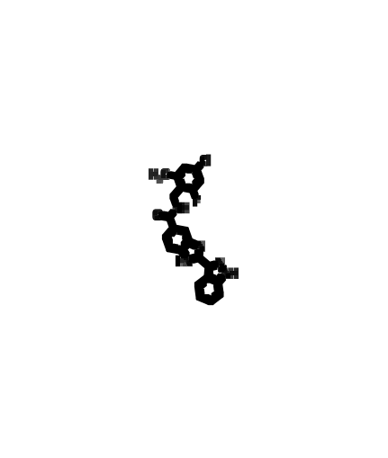 Cc1cc(Cl)cc(F)c1CNC(=O)c1ccc2[nH]c(-c3n[nH]c4ccccc34)nc2c1